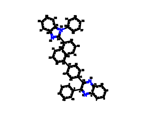 c1ccc(-c2nc3ccccc3nc2-c2ccc(-c3cccc4c(-c5nc6ccccc6n5-c5ccccc5)cccc34)cc2)cc1